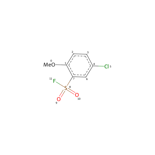 COc1ccc(Cl)cc1S(=O)(=O)F